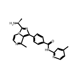 Cc1ccnc(NC(=O)c2ccc(-c3nc([C@H](C)N)n4ccnc(C)c34)cc2)c1